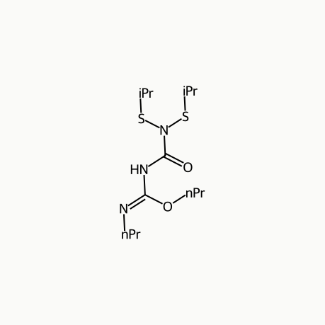 CCCN=C(NC(=O)N(SC(C)C)SC(C)C)OCCC